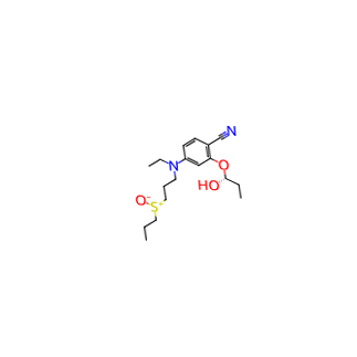 CCC[S+]([O-])CCCN(CC)c1ccc(C#N)c(O[C@@H](O)CC)c1